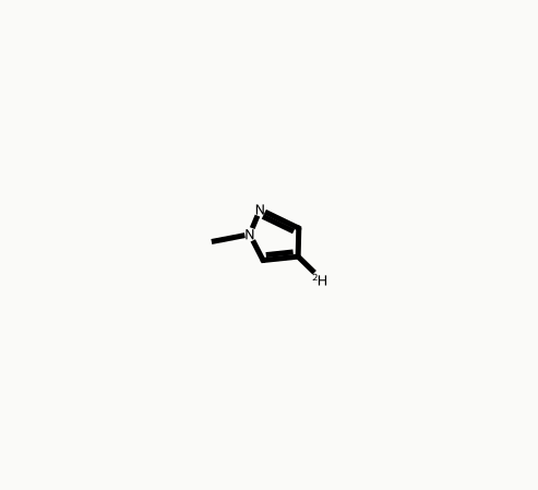 [2H]c1cnn(C)c1